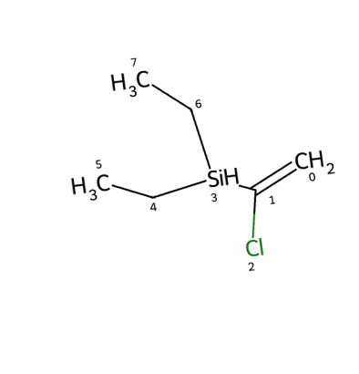 C=C(Cl)[SiH](CC)CC